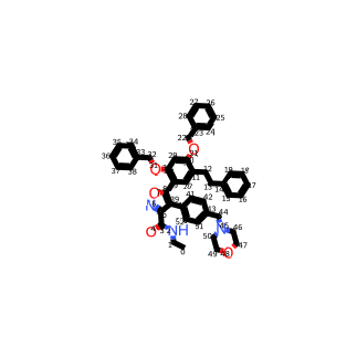 CCNC(=O)c1noc(-c2cc(CCc3ccccc3)c(OCc3ccccc3)cc2OCc2ccccc2)c1-c1ccc(CN2CCOCC2)cc1